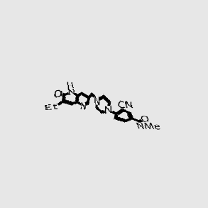 CCc1cc2ncc(CN3CCN(c4ccc(C(=O)NC)cc4C#N)CC3)cc2[nH]c1=O